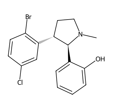 CN1CC[C@@H](c2cc(Cl)ccc2Br)[C@@H]1c1ccccc1O